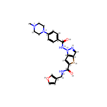 CN1CCN(c2ccc(C(=O)Nn3ncc4sc(C(=O)NCc5ccoc5)cc43)cc2)CC1